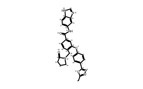 Cc1nnc(-c2ccc(Oc3cc(C(=O)Nc4ccc5[nH]cnc5c4)ccc3CN3CCCC3=O)cc2)o1